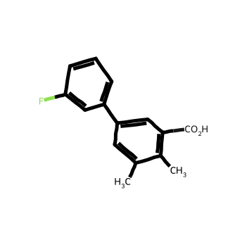 Cc1cc(-c2cccc(F)c2)cc(C(=O)O)c1C